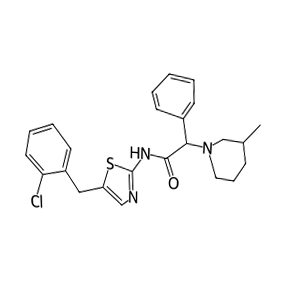 CC1CCCN(C(C(=O)Nc2ncc(Cc3ccccc3Cl)s2)c2ccccc2)C1